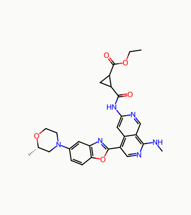 CCOC(=O)C1CC1C(=O)Nc1cc2c(-c3nc4cc(N5CCO[C@@H](C)C5)ccc4o3)cnc(NC)c2cn1